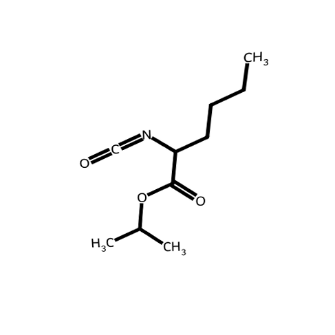 CCCCC(N=C=O)C(=O)OC(C)C